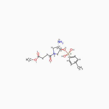 COC(=O)CCC(=O)N1C[C@H](OS(=O)(=O)c2ccc(C)cc2)[C@@H](N)C1